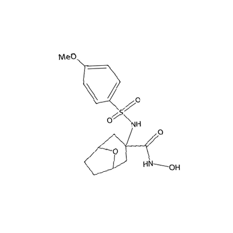 COc1ccc(S(=O)(=O)NC2(C(=O)NO)CC3CCC(C2)O3)cc1